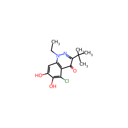 CCn1nc(C(C)(C)C)c(=O)c2c(Cl)c(O)c(O)cc21